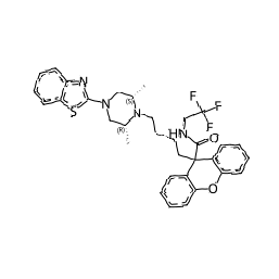 C[C@@H]1CN(c2nc3ccccc3s2)C[C@H](C)N1CCCCC1(C(=O)NCC(F)(F)F)c2ccccc2Oc2ccccc21